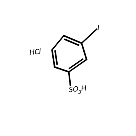 Cl.O=S(=O)(O)c1cccc(I)c1